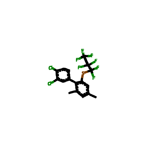 Cc1[c]c(C)c(-c2ccc(Cl)c(Cl)c2)c(SC(F)(F)C(F)(F)C(F)(F)F)c1